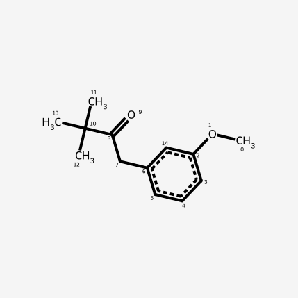 COc1cccc(CC(=O)C(C)(C)C)c1